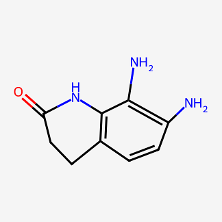 Nc1ccc2c(c1N)NC(=O)CC2